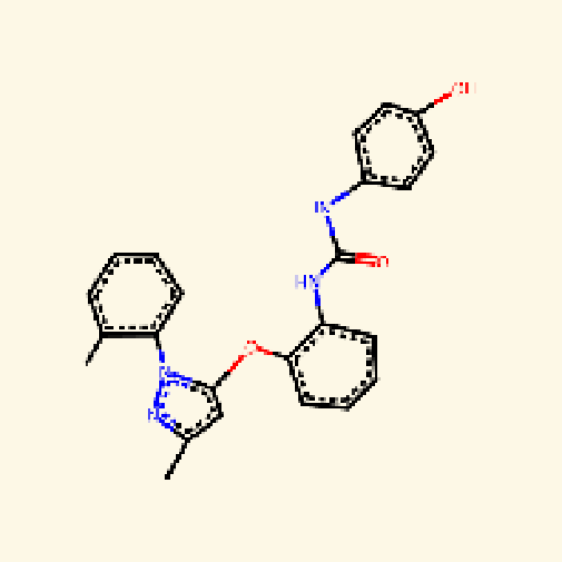 Cc1cc(Oc2ccccc2NC(=O)Nc2ccc(O)cc2)n(-c2ccccc2C)n1